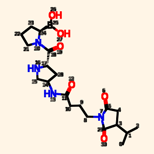 CC(C)C1CC(=O)N(CCCC(=O)NC2CN[C@H](C(=O)N3CCC[C@H]3B(O)O)C2)C1=O